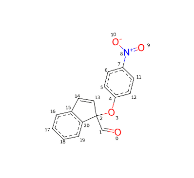 O=CC1(Oc2ccc([N+](=O)[O-])cc2)C=Cc2ccccc21